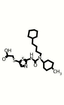 CC1CCC(N(CCCCC2CCCCC2)C(=O)Nc2ncc(SCC(=O)O)s2)CC1